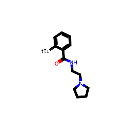 CC(C)(C)c1ccccc1C(=O)NCCN1CCCC1